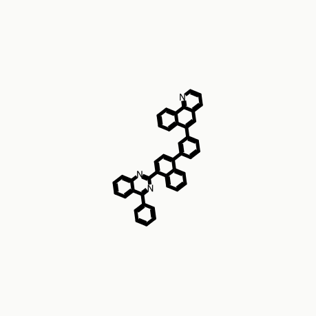 c1ccc(-c2nc(-c3ccc(-c4cccc(-c5cc6cccnc6c6ccccc56)c4)c4ccccc34)nc3ccccc23)cc1